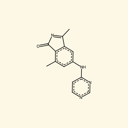 CC1=NC(=O)c2c(C)cc(Nc3ccncn3)cc21